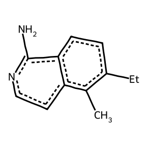 CCc1ccc2c(N)nccc2c1C